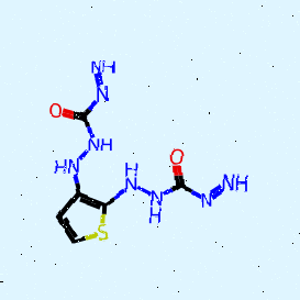 N=NC(=O)NNc1ccsc1NNC(=O)N=N